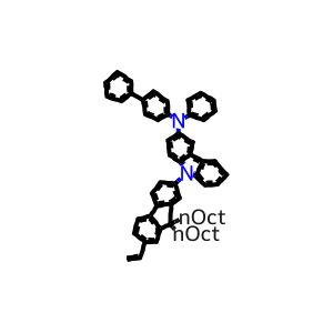 C=Cc1ccc2c(c1)C(CCCCCCCC)(CCCCCCCC)c1cc(-n3c4ccccc4c4cc(N(c5ccccc5)c5ccc(-c6ccccc6)cc5)ccc43)ccc1-2